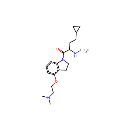 CN(C)CCOc1cccc2c1CCN2C(=O)C(CCC1CC1)NC(=O)O